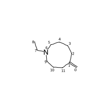 C=C1CCCCN(CC)CCC1